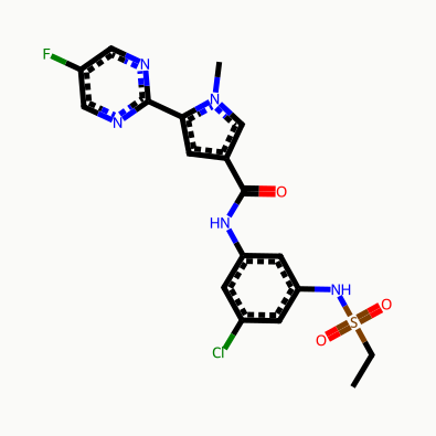 CCS(=O)(=O)Nc1cc(Cl)cc(NC(=O)c2cc(-c3ncc(F)cn3)n(C)c2)c1